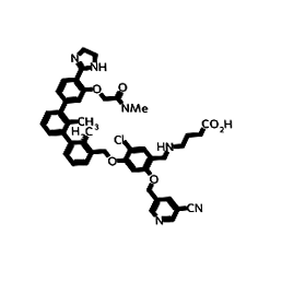 CNC(=O)COc1cc(-c2cccc(-c3cccc(COc4cc(OCc5cncc(C#N)c5)c(CNCCCC(=O)O)cc4Cl)c3C)c2C)ccc1C1=NCCN1